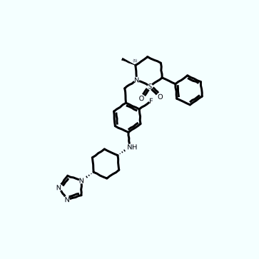 C[C@H]1CCC(c2ccccc2)S(=O)(=O)N1Cc1ccc(N[C@H]2CC[C@@H](n3cnnc3)CC2)cc1F